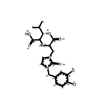 CC(C)CC(NC(Cn1ccn(Cc2ccc(Cl)c(Cl)c2)c1=O)C(=O)O)C(=O)O